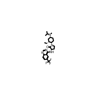 CC[C@@H]1C[C@H](N(C)C(C)C)CC[C@@H]1N1CC[C@H](Nc2ncnc3ccc(C(F)(F)F)cc23)C1=O